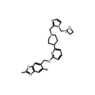 Cc1nc2cc(F)c(COc3cccc(C4CCN(Cc5nccn5C[C@@H]5CCO5)CC4)n3)cc2o1